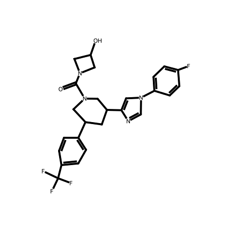 O=C(N1CC(O)C1)N1CC(c2ccc(C(F)(F)F)cc2)CC(c2cn(-c3ccc(F)cc3)cn2)C1